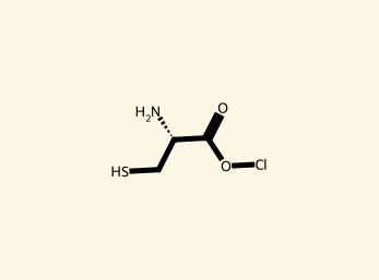 N[C@@H](CS)C(=O)OCl